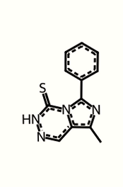 Cc1nc(-c2ccccc2)n2c(=S)[nH]ncc12